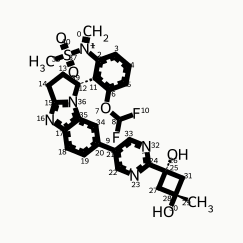 C=[N+](c1cccc(OC(F)F)c1[C@H]1CCc2nc3ccc(-c4cnc([C@]5(O)C[C@@](C)(O)C5)nc4)cc3n21)S(C)(=O)=O